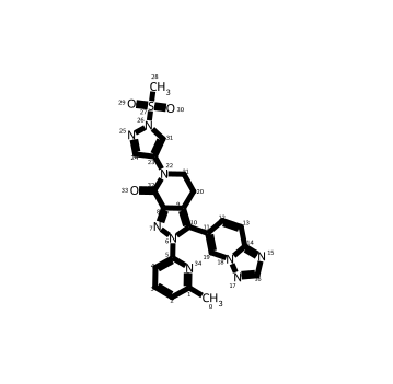 Cc1cccc(-n2nc3c(c2-c2ccc4ncnn4c2)CCN(c2cnn(S(C)(=O)=O)c2)C3=O)n1